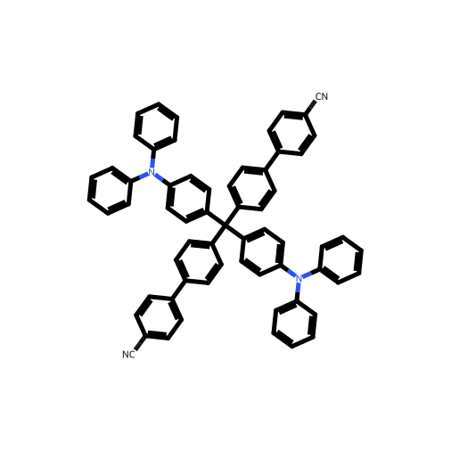 N#Cc1ccc(-c2ccc(C(c3ccc(-c4ccc(C#N)cc4)cc3)(c3ccc(N(c4ccccc4)c4ccccc4)cc3)c3ccc(N(c4ccccc4)c4ccccc4)cc3)cc2)cc1